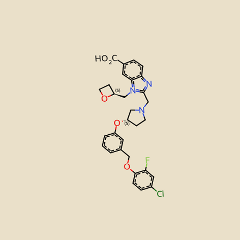 O=C(O)c1ccc2nc(CN3CC[C@H](Oc4cccc(COc5ccc(Cl)cc5F)c4)C3)n(C[C@@H]3CCO3)c2c1